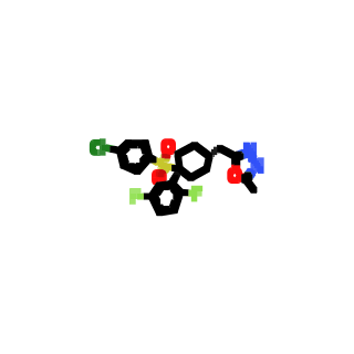 Cc1nnc(C[C@H]2CC[C@@](c3cc(F)ccc3F)(S(=O)(=O)c3ccc(Cl)cc3)CC2)o1